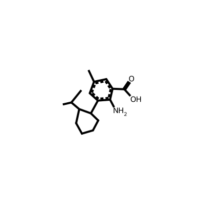 Cc1cc(C(=O)O)c(N)c(C2CCCCC2C(C)C)c1